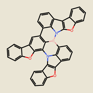 c1ccc2c(c1)oc1c3c4c(cc12)-c1cccc2c5c6ccccc6oc5n(c12)B4c1cccc2c4oc5ccccc5c4n-3c12